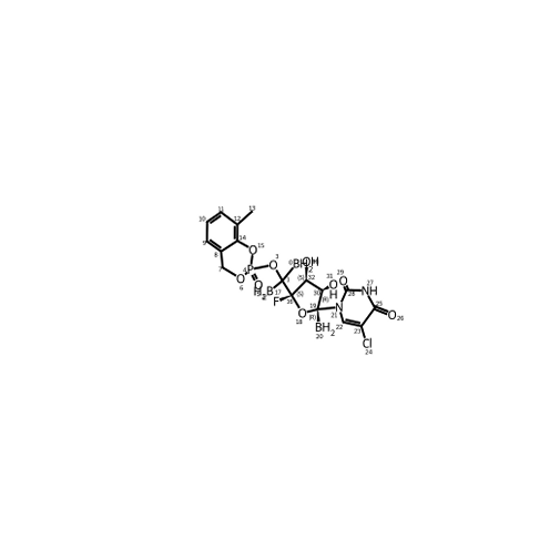 BC(B)(OP1(=O)OCc2cccc(C)c2O1)[C@@]1(F)O[C@@](B)(n2cc(Cl)c(=O)[nH]c2=O)[C@H](O)[C@@H]1O